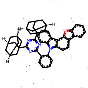 c1ccc(-n2c3ccccc3c3c4oc5ccccc5c4ccc32)c(-c2nc(C34CC5C[C@H](C3)C[C@H](C5)C4)nc(C34C[C@H]5C[C@@H](C3)C[C@@H](C4)C5)n2)c1